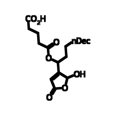 CCCCCCCCCCCCC(OC(=O)CCCC(=O)O)C1=CC(=O)OC1O